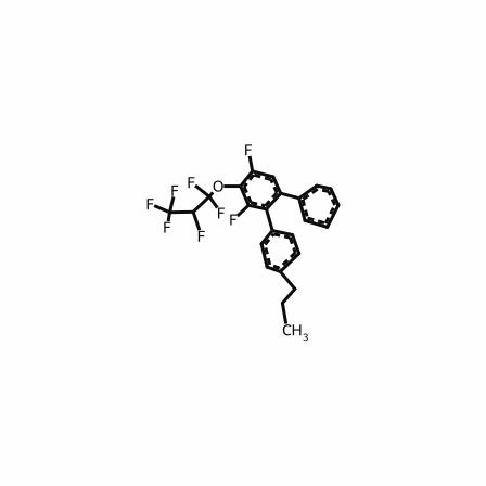 CCCc1ccc(-c2c(-c3ccccc3)cc(F)c(OC(F)(F)C(F)C(F)(F)F)c2F)cc1